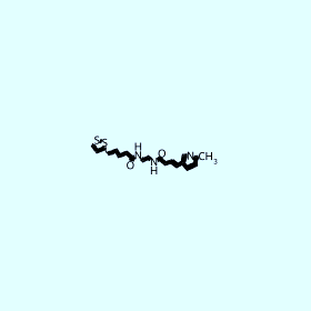 Cc1ccc(C=CCC(=O)NCCNC(=O)CCCC[C@@H]2CCSS2)cn1